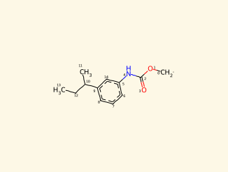 [CH2]OC(=O)Nc1cccc(C(C)CC)c1